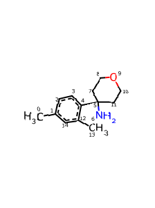 Cc1ccc(C2(N)CCOCC2)c(C)c1